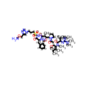 CC[C@H](C)[C@@H]([C@@H](CC(=O)N1CCC[C@H]1[C@H](OC)[C@@H](C)C(=O)N[C@@H](Cc1ccccc1)C(=O)NS(=O)(=O)CCCn1cc(CON)nn1)OC)N(C)C(=O)C(N=C(N(C)C)N(C)C)C(C)C